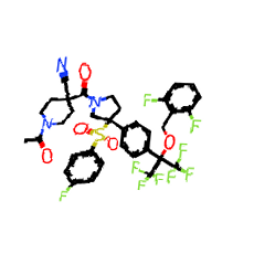 CC(=O)N1CCC(C#N)(C(=O)N2CCC(c3ccc(C(OCc4c(F)cccc4F)(C(F)(F)F)C(F)(F)F)cc3)(S(=O)(=O)c3ccc(F)cc3)C2)CC1